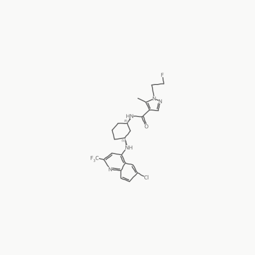 Cc1c(C(=O)N[C@@H]2CCC[C@H](Nc3cc(C(F)(F)F)nc4ccc(Cl)cc34)C2)cnn1CCF